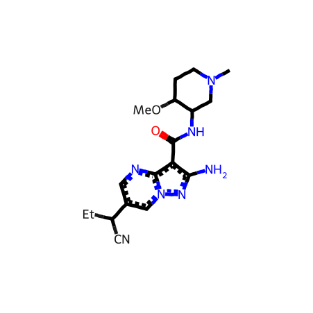 CCC(C#N)c1cnc2c(C(=O)NC3CN(C)CCC3OC)c(N)nn2c1